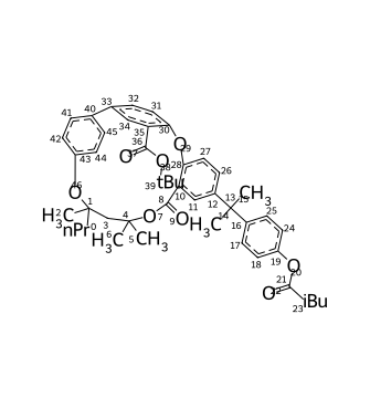 CCCC1(C)CC(C)(C)OC(=O)c2cc(C(C)(C)c3ccc(OC(=O)C(C)CC)cc3)ccc2Oc2ccc(cc2C(=O)OC(C)(C)C)-c2ccc(cc2)O1